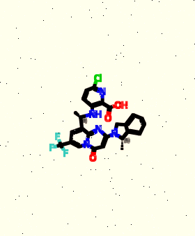 C[C@@H](Nc1ccc(Cl)nc1C(=O)O)c1cc(C(F)(F)F)cn2c(=O)cc(N3Cc4ccccc4[C@@H]3C)nc12